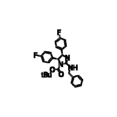 CC(C)(C)OC(=O)N1C(NCc2ccccc2)=N[C@H](c2ccc(F)cc2)[C@@H]1c1ccc(F)cc1